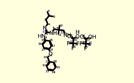 CC(C)CC/N=C(\NCC(C)(C)CN)Nc1ccc(OCc2ccccc2)cc1.O=C(O)C(F)(F)F.O=C(O)C(F)(F)F